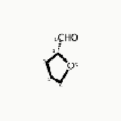 O=C[C@H]1CCCO1